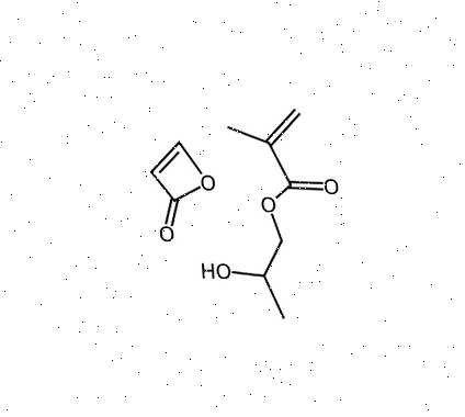 C=C(C)C(=O)OCC(C)O.O=C1C=CO1